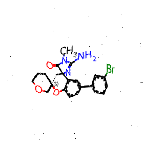 CN1C(=O)C2(C[C@]3(CCCOC3)Oc3ccc(-c4cccc(Br)c4)cc32)N=C1N